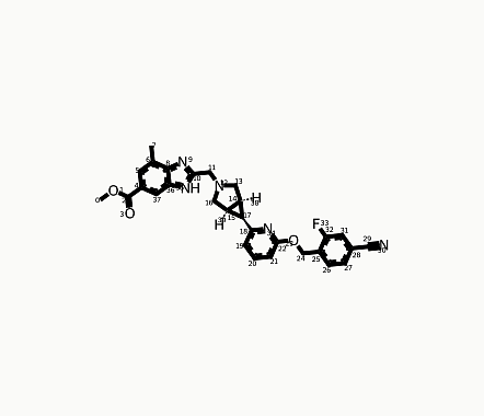 COC(=O)c1cc(C)c2nc(CN3C[C@@H]4[C@H](C3)[C@@H]4c3cccc(OCc4ccc(C#N)cc4F)n3)[nH]c2c1